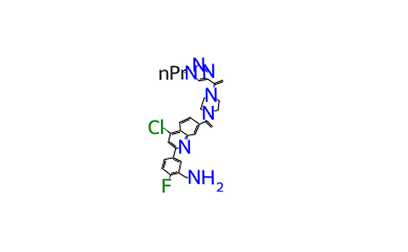 C=C(c1ccc2c(Cl)cc(-c3ccc(F)c(CN)c3)nc2c1)N1CCN(C(=C)c2cn(CCC)nn2)CC1